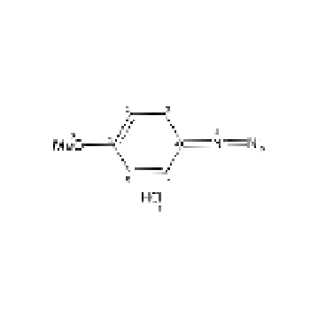 COC1=CCC(=[N+]=[N-])C=C1.Cl